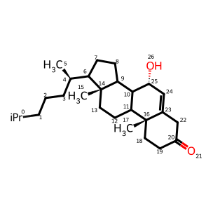 CC(C)CCC[C@@H](C)C1CCC2C3C(CC[C@@]21C)[C@@]1(C)CCC(=O)CC1=C[C@H]3O